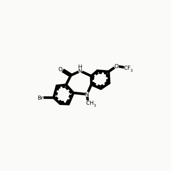 CN1c2ccc(OC(F)(F)F)cc2NC(=O)c2cc(Br)ccc21